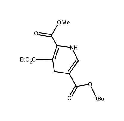 CCOC(=O)C1=C(C(=O)OC)NC=C(C(=O)OC(C)(C)C)C1